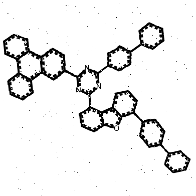 c1ccc(-c2ccc(-c3nc(-c4ccc5c6ccccc6c6ccccc6c5c4)nc(-c4cccc5oc6c(-c7ccc(-c8ccccc8)cc7)cccc6c45)n3)cc2)cc1